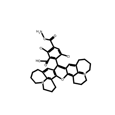 NOC(=O)c1cc(Cl)c(C2=c3cc4c5c(c3Oc3c2cc2c6c3CCCN6CCCC2)CCC[N+]=5CCCC4)c(C(=O)O)c1Cl